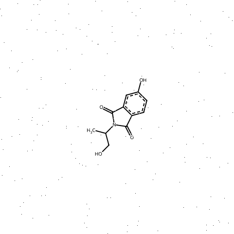 CC(CO)N1C(=O)c2ccc(O)cc2C1=O